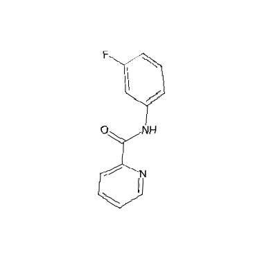 O=C(Nc1cccc(F)c1)c1ccccn1